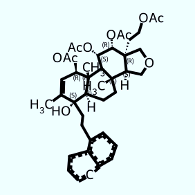 CC(=O)OCC[C@]12COC[C@H]1[C@]1(C)CC[C@@H]3[C@@](C)(C1[C@H](OC(C)=O)[C@@H]2OC(C)=O)[C@H](OC(C)=O)C=C(C)[C@]3(O)CCc1cccc2ccccc12